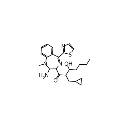 CCCCC(O)C(CC1CC1)C(=O)C1N=C(c2nccs2)c2ccccc2N(C)C1N